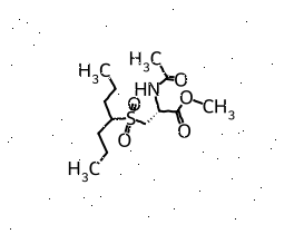 CCCC(CCC)S(=O)(=O)C[C@H](NC(C)=O)C(=O)OC